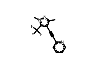 Cc1nn(C)c(C(F)(F)F)c1C#Cc1ccccn1